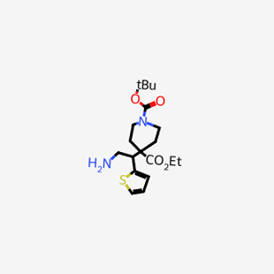 CCOC(=O)C1(C(CN)c2cccs2)CCN(C(=O)OC(C)(C)C)CC1